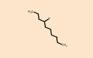 [CH2]CCCCCC(F)CCC